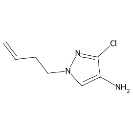 C=CCCn1cc(N)c(Cl)n1